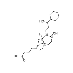 CC[C@@]12CC[C@H](O)[C@@H](CCC(O)C3CCCCC3)[C@@H]1CC2=CCCCC(=O)O